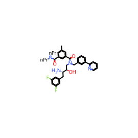 CCCN(CCC)C(=O)c1cc(C)cc(C(=O)N(Cc2cccc(-c3ccccn3)c2)C[C@@H](O)[C@@H](N)Cc2cc(F)cc(F)c2)c1